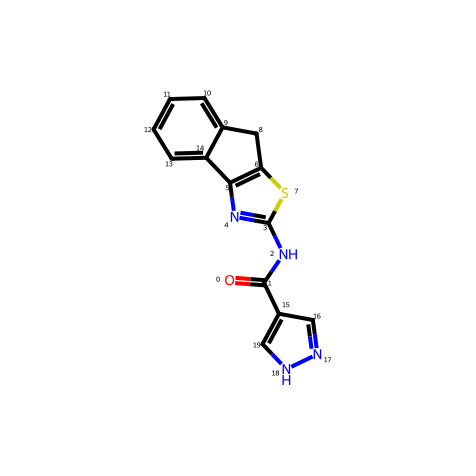 O=C(Nc1nc2c(s1)Cc1ccccc1-2)c1cn[nH]c1